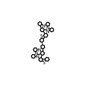 c1ccc(-n2c3ccccc3c3ccc4c5c6sc7ccc(-c8ccc9c%10ccc%11c%12c%13c(ccc%12n%12c%14ccccc%14nc%12c%11c%10n(-c%10ccccc%10)c9c8)sc8ccccc8%13)cc7c6ccc5n5c6ccccc6nc5c4c32)cc1